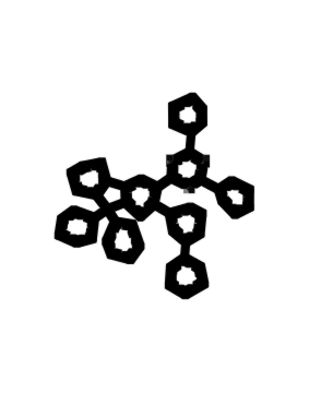 c1ccc(-c2cccc(-c3cc4c(cc3-c3nc(-c5ccccc5)nc(-c5ccccc5)n3)-c3ccccc3C4(c3ccccc3)c3ccccc3)c2)cc1